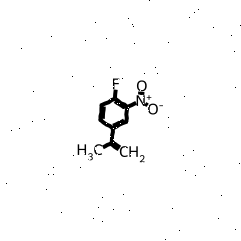 C=C(C)c1ccc(F)c([N+](=O)[O-])c1